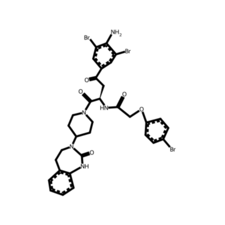 Nc1c(Br)cc(C(=O)C[C@@H](NC(=O)COc2ccc(Br)cc2)C(=O)N2CCC(N3CCc4ccccc4NC3=O)CC2)cc1Br